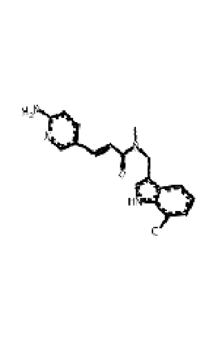 CN(Cc1c[nH]c2c(Cl)cccc12)C(=O)/C=C/c1ccc(N)nc1